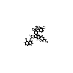 COC(=O)C1(Nc2cccc(Cl)c2)CCC2(CC1)c1cc3c(cc1C[C@@H]2C[C@@H](C)COc1ccnc2c1[C@H](C)CCC2)OCC(CO)CO3